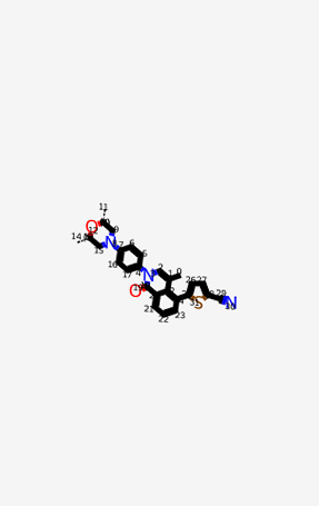 Cc1cn(-c2ccc(N3C[C@@H](C)O[C@@H](C)C3)cc2)c(=O)c2cccc(-c3ccc(C#N)s3)c12